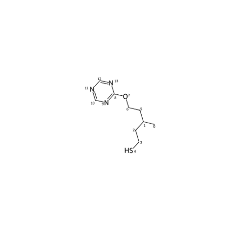 CC(CCS)CCOc1ncncn1